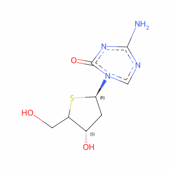 Nc1ncn([C@H]2C[C@H](O)C(CO)S2)c(=O)n1